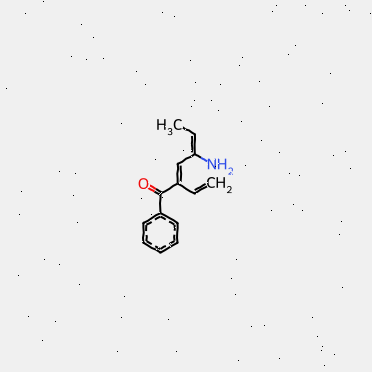 C=C/C(=C\C(N)=C/C)C(=O)c1ccccc1